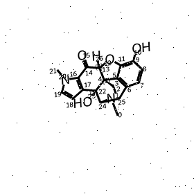 CN1CC[C@]23c4c5ccc(O)c4O[C@H]2C(=O)c2c(ccn2C)[C@@]3(O)C1C5